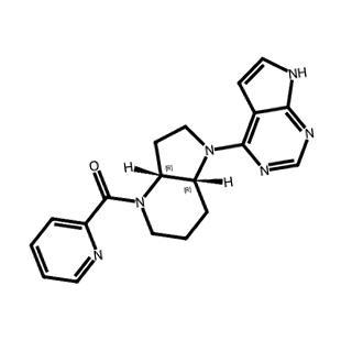 O=C(c1ccccn1)N1CCC[C@@H]2[C@H]1CCN2c1ncnc2[nH]ccc12